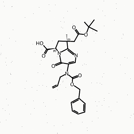 C=CCN(C(=O)OCc1ccccc1)c1cnc2n(c1=O)[C@@H](C(=O)O)C[C@@]2(C)CC(=O)OC(C)(C)C